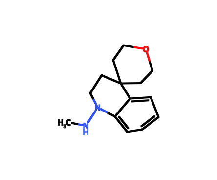 CNN1CCC2(CCOCC2)c2ccccc21